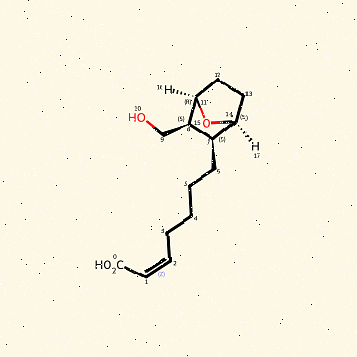 O=C(O)/C=C\CCCC[C@H]1[C@@H](CO)[C@H]2CC[C@@H]1O2